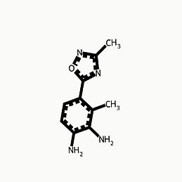 Cc1noc(-c2ccc(N)c(N)c2C)n1